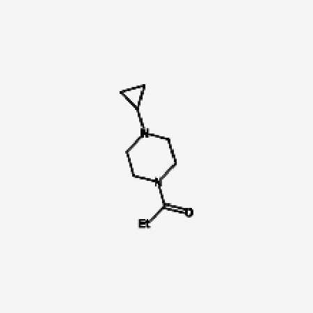 CCC(=O)N1CCN(C2CC2)CC1